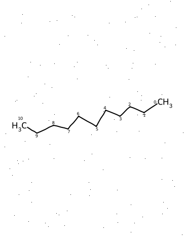 C[C]CCCCCCCCC